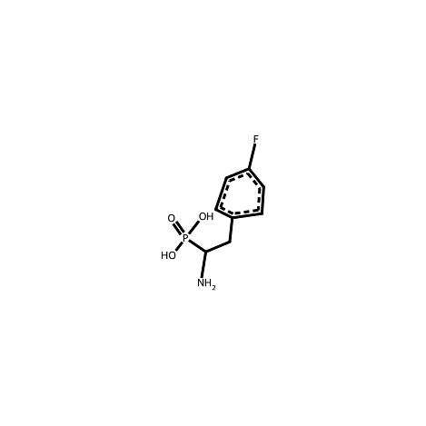 NC(Cc1ccc(F)cc1)P(=O)(O)O